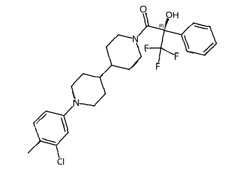 Cc1ccc(N2CCC(C3CCN(C(=O)[C@](O)(c4ccccc4)C(F)(F)F)CC3)CC2)cc1Cl